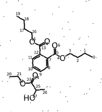 CCCCOC(=O)c1ccccc1C(=O)OCCCC.CCOC(=O)C(C)O